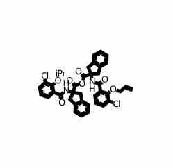 C=CCOc1c(Cl)cccc1C(=O)NC1(C(=O)OC(=O)C2(NC(=O)c3cccc(Cl)c3OC(C)C)Cc3ccccc3C2)Cc2ccccc2C1